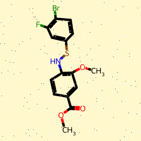 COC(=O)c1ccc(NSc2ccc(Br)c(F)c2)c(OC)c1